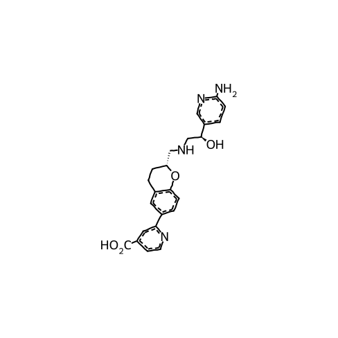 Nc1ccc([C@@H](O)CNC[C@H]2CCc3cc(-c4cc(C(=O)O)ccn4)ccc3O2)cn1